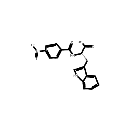 O=C(N[C@@H](Cc1c[nH]c2ccccc12)C(=O)O)c1ccc([N+](=O)[O-])cc1